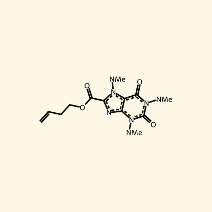 C=CCCOC(=O)c1nc2c(c(=O)n(NC)c(=O)n2NC)n1NC